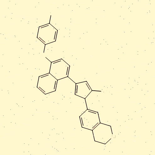 CCCCC1=CC(c2ccc(Oc3ccc(Cl)cc3)c3ccccc23)=CC1c1ccc2c(c1)CNCC2